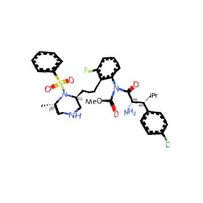 COC(=O)N(C(=O)[C@@H](N)[C@@H](c1ccc(Cl)cc1)C(C)C)c1cccc(F)c1CC[C@H]1CNC[C@H](C)N1S(=O)(=O)c1ccccc1